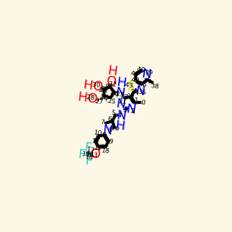 Cc1nc(NCC2CN(c3ccc(OC(F)(F)F)cc3)C2)nc(N[C@@H]2C[C@H](CO)[C@@H](O)[C@H]2O)c1-c1nc2c(C)nccc2s1